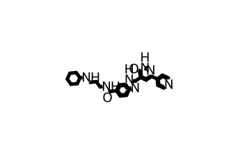 O=C(NCCCNC1CCCCC1)c1ccc2nc(-c3cc(-c4ccncc4)n[nH]c3=O)[nH]c2c1